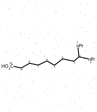 CCCC(CCC)CCCCCCCC(=O)O